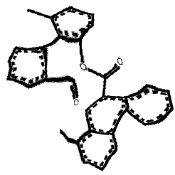 Cc1cccc(OC(=O)c2cc3c(C)cccc3c3ccccc23)c1-c1ccccc1C=O